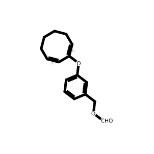 O=COCc1cccc(OC2=C/CCCC/C=C\2)c1